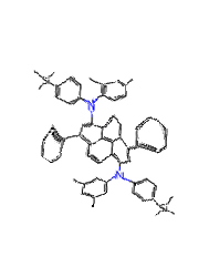 Cc1cc(C)cc(N(c2ccc([Si](C)(C)C)cc2)c2cc(C3=CCCC=C3)c3ccc4c(N(c5ccc([Si](C)(C)C)cc5)c5ccc(C)cc5C)cc(-c5ccccc5)c5ccc2c3c54)c1